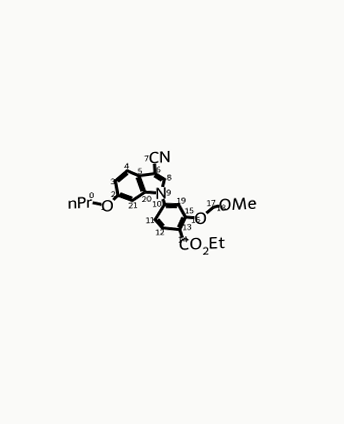 CCCOc1ccc2c(C#N)cn(-c3ccc(C(=O)OCC)c(OCOC)c3)c2c1